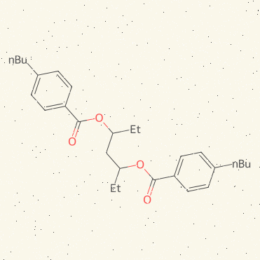 CCCCc1ccc(C(=O)OC(CC)CC(CC)OC(=O)c2ccc(CCCC)cc2)cc1